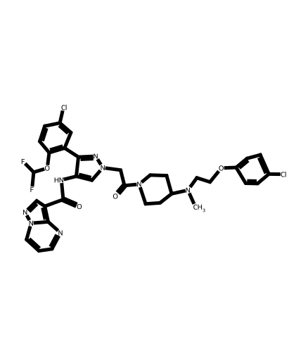 CN(CCOc1ccc(Cl)cc1)C1CCN(C(=O)Cn2cc(NC(=O)c3cnn4cccnc34)c(-c3cc(Cl)ccc3OC(F)F)n2)CC1